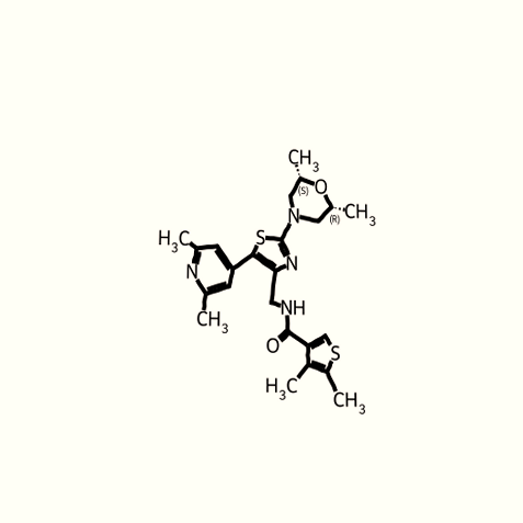 Cc1cc(-c2sc(N3C[C@@H](C)O[C@@H](C)C3)nc2CNC(=O)c2csc(C)c2C)cc(C)n1